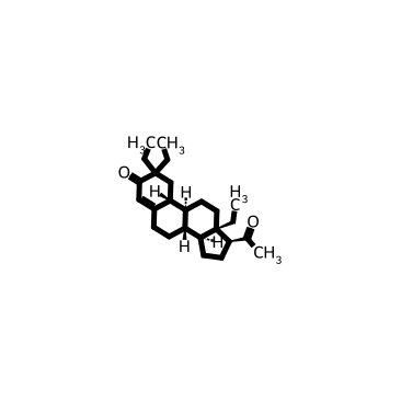 CCC1(CC)C[C@H]2C(=CC1=O)CC[C@@H]1[C@@H]2CC[C@]2(CC)[C@@H](C(C)=O)CC[C@@H]12